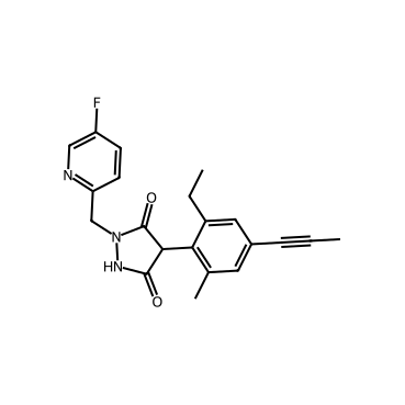 CC#Cc1cc(C)c(C2C(=O)NN(Cc3ccc(F)cn3)C2=O)c(CC)c1